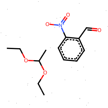 CCOC(C)OCC.O=Cc1ccccc1[N+](=O)[O-]